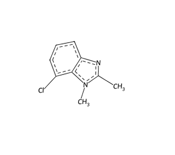 Cc1nc2cccc(Cl)c2n1C